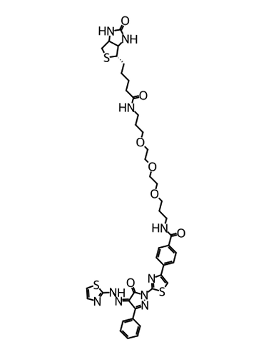 O=C(CCCC[C@@H]1SCC2NC(=O)NC21)NCCCOCCOCCOCCCNC(=O)c1ccc(-c2csc(N3N=C(c4ccccc4)C(=NNc4nccs4)C3=O)n2)cc1